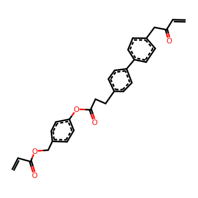 C=CC(=O)Cc1ccc(-c2ccc(CCC(=O)Oc3ccc(COC(=O)C=C)cc3)cc2)cc1